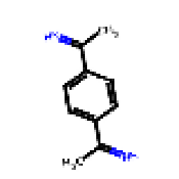 CC(=N)c1ccc(C(C)=N)cc1